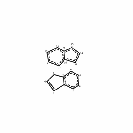 C1=Cc2ccccc2C1.c1ccc2sccc2c1